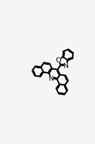 c1ccc2c(c1)ccc1c(-c3nc4ccccc4o3)c3ccc4ccccc4c3nc12